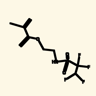 C=C(C)C(=C)OCCNS(=O)(=O)C(F)(F)C(F)F